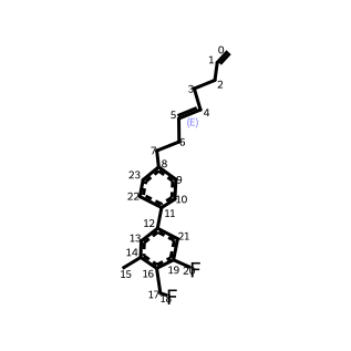 C=CCC/C=C/CCc1ccc(-c2cc(C)c(CF)c(F)c2)cc1